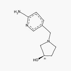 Nc1ccc(CN2CC[C@@H](O)C2)cn1